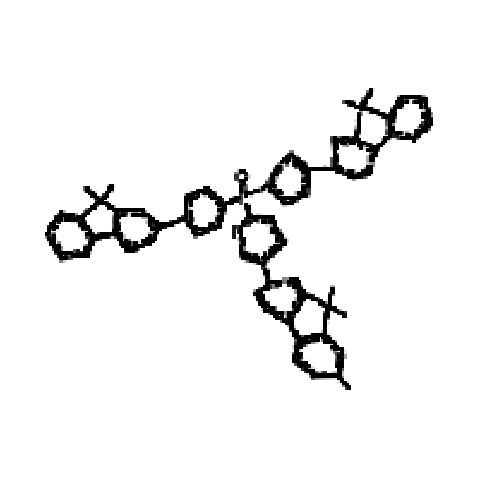 Cc1ccc2c(c1)C(C)(C)c1cc(-c3ccc(P(=O)(c4ccc(-c5ccc6c(c5)C(C)(C)c5ccccc5-6)cc4)c4ccc(-c5ccc6c(c5)C(C)(C)c5ccccc5-6)cc4)nc3)ccc1-2